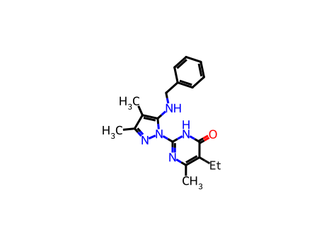 CCc1c(C)nc(-n2nc(C)c(C)c2NCc2ccccc2)[nH]c1=O